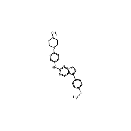 COc1ccc(-c2ccn3nc(Nc4ccc(N5CCN(C)CC5)cc4)ncc23)cc1